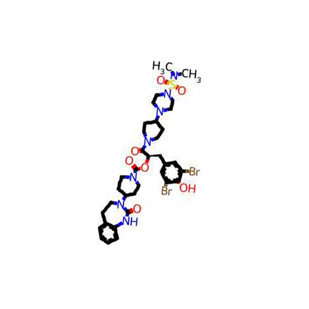 CN(C)S(=O)(=O)N1CCN(C2CCN(C(=O)[C@@H](Cc3cc(Br)c(O)c(Br)c3)OC(=O)N3CCC(N4CCc5ccccc5NC4=O)CC3)CC2)CC1